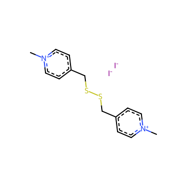 C[n+]1ccc(CSSCc2cc[n+](C)cc2)cc1.[I-].[I-]